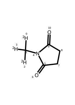 [2H]C([2H])([2H])N1C(=O)CCC1=O